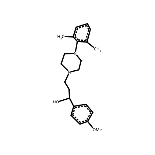 COc1ccc(C(O)CCN2C[CH]N(c3c(C)cccc3C)CC2)cc1